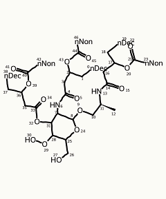 CCCCCCCCCCCC(CC(=O)NC1C(OC[C@H](C)NC(=O)CC(CCCCCCCCCCC)OC(=O)CCCCCCCCC)OC(CO)C(OO)C1OC(=O)CC(CCCCCCCCCCC)OC(=O)CCCCCCCCC)OC(=O)CCCCCCCCC